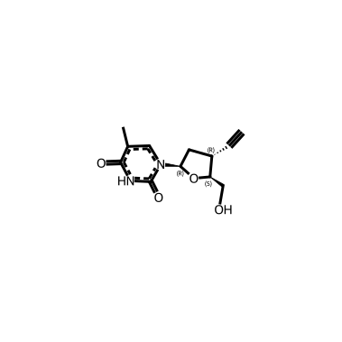 C#C[C@H]1C[C@H](n2cc(C)c(=O)[nH]c2=O)O[C@@H]1CO